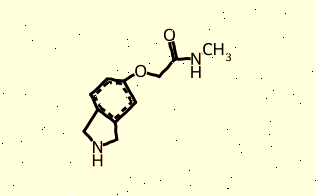 CNC(=O)COc1ccc2c(c1)CNC2